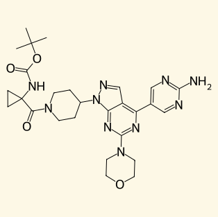 CC(C)(C)OC(=O)NC1(C(=O)N2CCC(n3ncc4c(-c5cnc(N)nc5)nc(N5CCOCC5)nc43)CC2)CC1